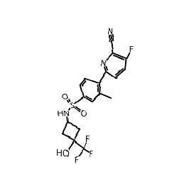 Cc1cc(S(=O)(=O)NC2CC(O)(C(F)(F)F)C2)ccc1-c1ccc(F)c(C#N)n1